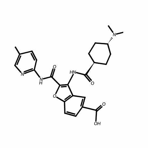 Cc1ccc(NC(=O)c2oc3ccc(C(=O)O)cc3c2NC(=O)[C@H]2CC[C@H](N(C)C)CC2)nc1